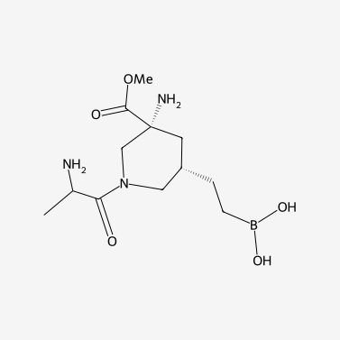 COC(=O)[C@@]1(N)C[C@H](CCB(O)O)CN(C(=O)C(C)N)C1